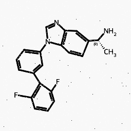 C[C@@H](N)c1ccc2c(c1)ncn2-c1cccc(-c2c(F)cccc2F)c1